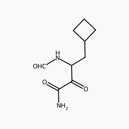 NC(=O)C(=O)C(CC1CCC1)NC=O